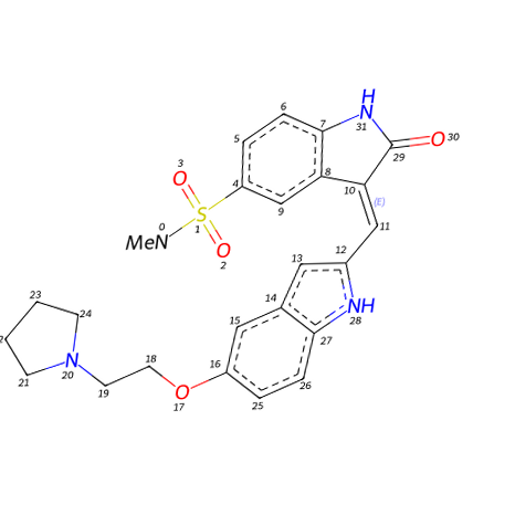 CNS(=O)(=O)c1ccc2c(c1)/C(=C\c1cc3cc(OCCN4CCCC4)ccc3[nH]1)C(=O)N2